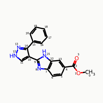 COC(=O)c1ccc2nc(-c3c[nH]nc3-c3ccccc3)[nH]c2c1